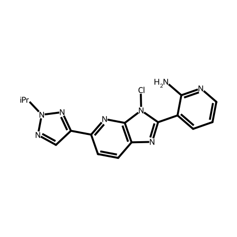 CC(C)n1ncc(-c2ccc3nc(-c4cccnc4N)n(Cl)c3n2)n1